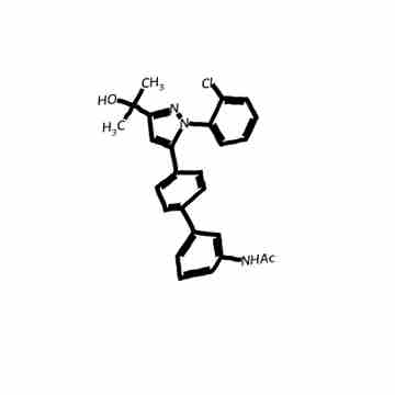 CC(=O)Nc1cccc(-c2ccc(-c3cc(C(C)(C)O)nn3-c3ccccc3Cl)cc2)c1